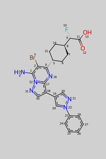 Nc1c(Br)c([C@H]2CC[C@H]([C@H](F)C(=O)O)CC2)nc2c(-c3cnn(-c4ccccc4)c3)cnn12